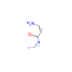 N/C=C\C(=O)/N=C\I